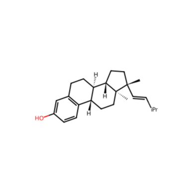 CC(C)/C=C/[C@@]1(C)CC[C@H]2[C@@H]3CCc4cc(O)ccc4[C@H]3CC[C@@]21C